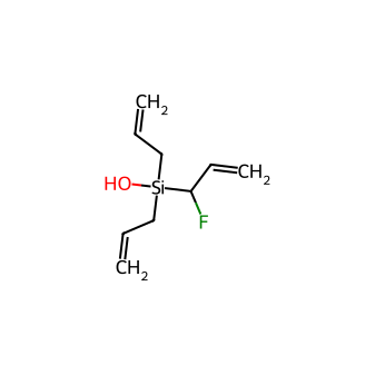 C=CC[Si](O)(CC=C)C(F)C=C